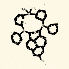 CC(C)(C)c1cc2ccc3c4cc(c5ccc(c1)c2c35)N(c1ccccc1)c1cccc(c1)S(C)(C)c1cccc(c1)N4c1ccccc1